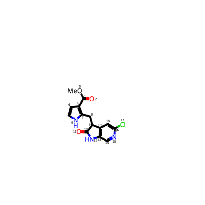 COC(=O)c1cc[nH]c1CC1C(=O)Nc2cnc(Cl)cc21